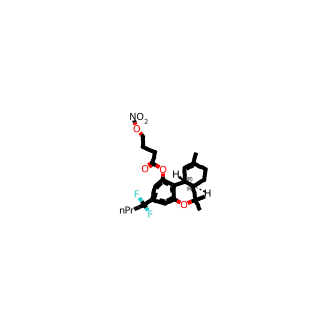 CCCC(F)(F)c1cc(OC(=O)CCCO[N+](=O)[O-])c2c(c1)OC(C)(C)[C@@H]1CCC(C)=C[C@@H]21